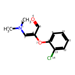 CN(C)C=C(C=O)Oc1ccccc1Cl